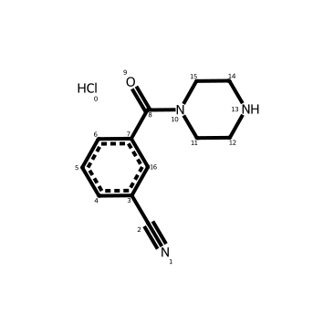 Cl.N#Cc1cccc(C(=O)N2CCNCC2)c1